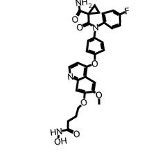 COc1cc2c(Oc3ccc(N(C(=O)C4(C(N)=O)CC4)c4ccc(F)cc4)cc3)ccnc2cc1OCCCC(=O)NO